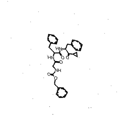 O=C(CNC(=O)OCc1ccccc1)NC(Cc1ccccc1)C(=O)NC(Cc1ccccc1)C(=O)C1CC1